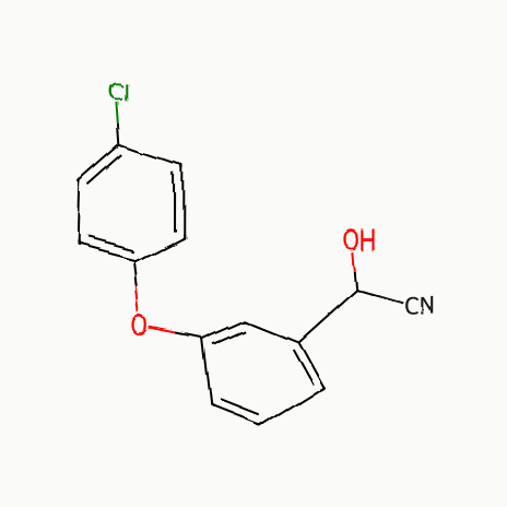 N#CC(O)c1cccc(Oc2ccc(Cl)cc2)c1